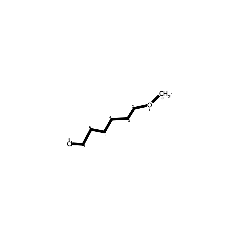 [CH2]OCCCCCCCl